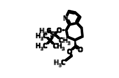 CCOC(=O)[C@@H]1CCc2cccnc2[C@@H](O[Si](C)(C)C(C)(C)C)C1